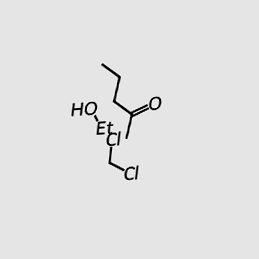 CCCC(C)=O.CCO.ClCCl